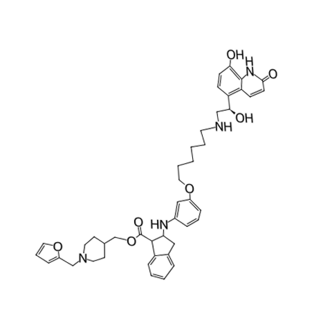 O=C(OCC1CCN(Cc2ccco2)CC1)C1c2ccccc2CC1Nc1cccc(OCCCCCCNC[C@H](O)c2ccc(O)c3[nH]c(=O)ccc23)c1